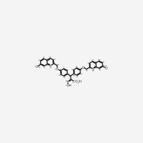 CCOC(=O)C(=NO)C(c1ccc(OCc2ccc3ccc(Cl)cc3n2)cc1)c1ccc(OCc2ccc3ccc(Cl)cc3n2)cc1